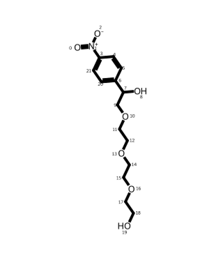 O=[N+]([O-])c1ccc(C(O)COCCOCCOCCO)cc1